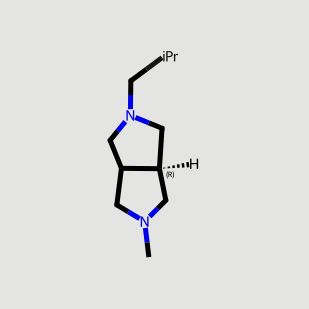 CC(C)CN1CC2CN(C)C[C@@H]2C1